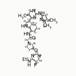 CCNc1nc(O[C@H]2CCN(CC(=O)Nc3cccc4c(-c5nc(Nc6cc(C)n(C)n6)ncc5C)c[nH]c34)C2)ncc1F